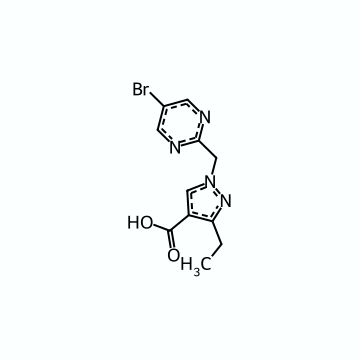 CCc1nn(Cc2ncc(Br)cn2)cc1C(=O)O